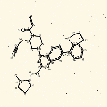 C=CC(=O)N1CCN(c2nc(OC[C@@H]3CCCN3C)nc3cc(-c4cccc5c4SCCC5)ccc23)C[C@@H]1CC#N